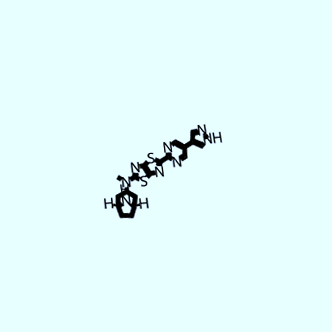 CN(c1nc2sc(-c3ncc(-c4cn[nH]c4)cn3)nc2s1)[C@@H]1C[C@H]2CC[C@@H](C1)N2